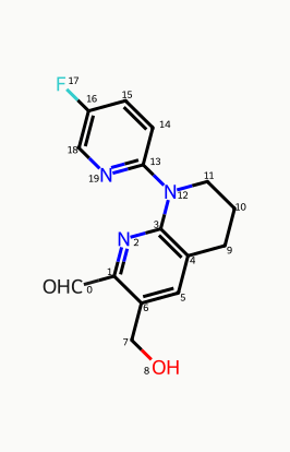 O=Cc1nc2c(cc1CO)CCCN2c1ccc(F)cn1